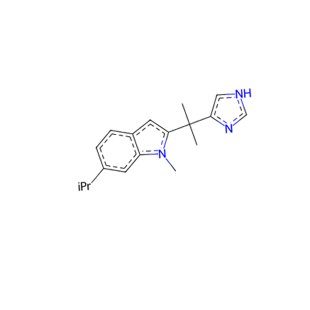 CC(C)c1ccc2cc(C(C)(C)c3c[nH]cn3)n(C)c2c1